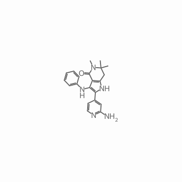 CN1C(=O)c2c([nH]c(-c3ccnc(N)c3)c2Nc2ccccc2)CC1(C)C